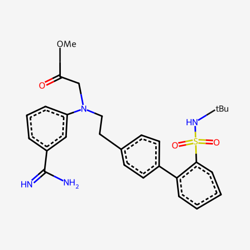 COC(=O)CN(CCc1ccc(-c2ccccc2S(=O)(=O)NC(C)(C)C)cc1)c1cccc(C(=N)N)c1